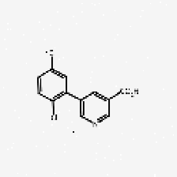 O=C(O)c1cncc(-c2cc(Cl)ccc2Cl)c1